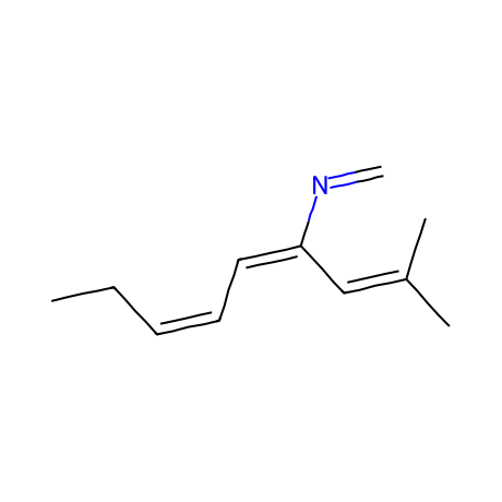 C=N/C(C=C(C)C)=C/C=C\CC